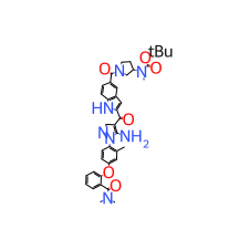 Cc1cc(Oc2ccccc2C(=O)N(C)C)ccc1-n1ncc(C(=O)c2cc3cc(C(=O)N4CCC(N(C)C(=O)OC(C)(C)C)C4)ccc3[nH]2)c1N